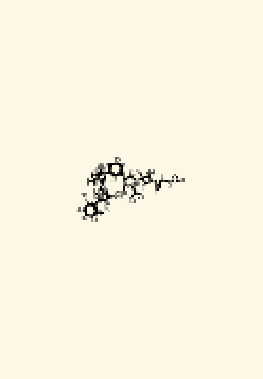 COCCN(C)[C@H]1C[C@](C)(CCC2c3cccc(c3)S(=O)(=O)Nc3nc(cc(-c4c(C)cccc4C)n3)OC[C@H]2CC(C)C)C1